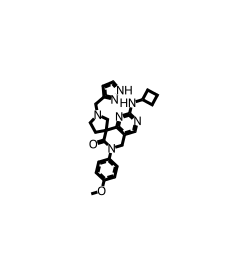 COc1ccc(N2Cc3cnc(NC4CCC4)nc3C3(CCN(Cc4cc[nH]n4)C3)C2=O)cc1